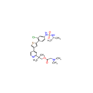 CC(C)NS(=O)(=O)Nc1ccc(-c2cc(-c3ccnc(C(C)(C)COC(=O)CN(C)C)c3)cs2)c(Cl)c1